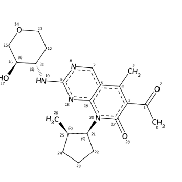 CC(=O)c1c(C)c2cnc(N[C@H]3CCOC[C@@H]3O)nc2n([C@H]2CCC[C@H]2C)c1=O